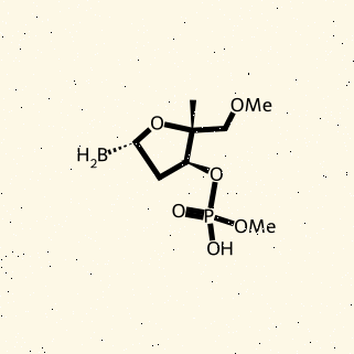 B[C@H]1C[C@H](OP(=O)(O)OC)[C@@](C)(COC)O1